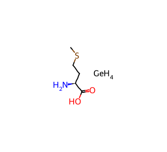 CSCC[C@H](N)C(=O)O.[GeH4]